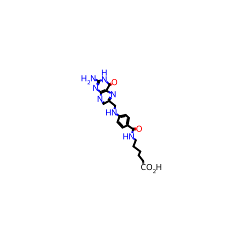 Nc1nc2ncc(CNc3ccc(C(=O)NCCCCCC(=O)O)cc3)nc2c(=O)[nH]1